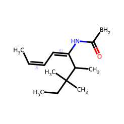 BC(=O)N/C(=C/C=C\C)C(C)C(C)(C)CC